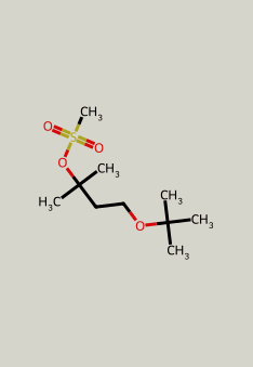 CC(C)(C)OCCC(C)(C)OS(C)(=O)=O